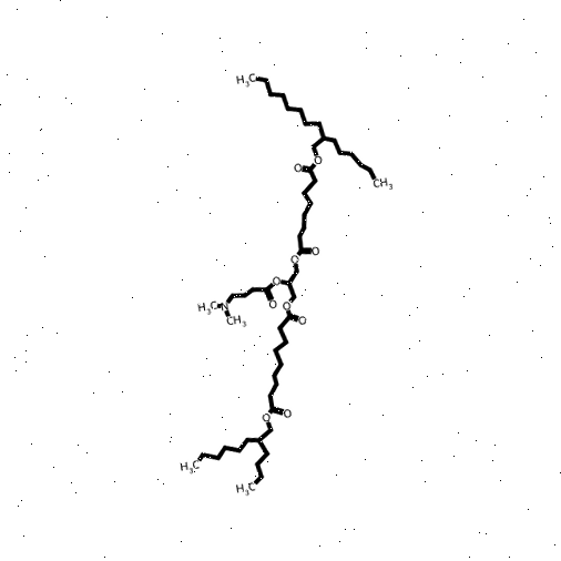 CCCCCCCCC(CCCCCC)COC(=O)CCCCCCC(=O)OCC(COC(=O)CCCCCCCC(=O)OCC(CCCC)CCCCCC)OC(=O)CCCN(C)C